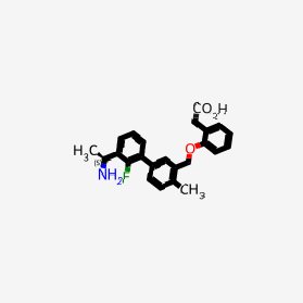 Cc1ccc(-c2cccc([C@H](C)N)c2F)cc1COc1ccccc1CC(=O)O